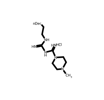 CCCCCCCCCCCCNC(=N)NC(=N)N1CCN(C)CC1.Cl